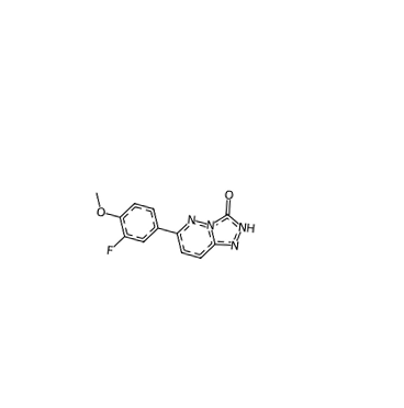 COc1ccc(-c2ccc3n[nH]c(=O)n3n2)cc1F